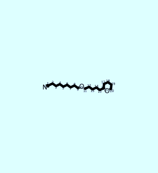 N#CCCCCCCCCOCCCCCC1CCCCO1